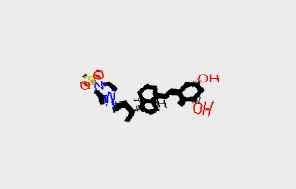 C=C1C(=CC=C2CCC[C@]3(C)[C@@H](C(C)CCN4CCN(S(C)(=O)=O)CC4)CC[C@@H]23)C[C@@H](O)C[C@@H]1O